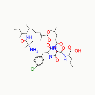 CCC(C)C(NC(=O)CN(C)C(=O)C(Cc1ccc(Cl)cc1)N(C)C(=O)C(C)NC(=O)C(CC(C)C)OC(=O)/C(C)=C/CCC(C)C(NC(=O)C(C)(C)N)C(C)CC)C(=O)O